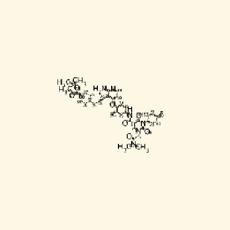 CN(C)C(=O)Cn1cc(C(=O)Nc2ccc(Oc3ccnc(N)c3C#CCC3CCN(C(=O)OC(C)(C)C)CC3)c(F)c2)c(=O)n(-c2ccc(F)cc2)c1=O